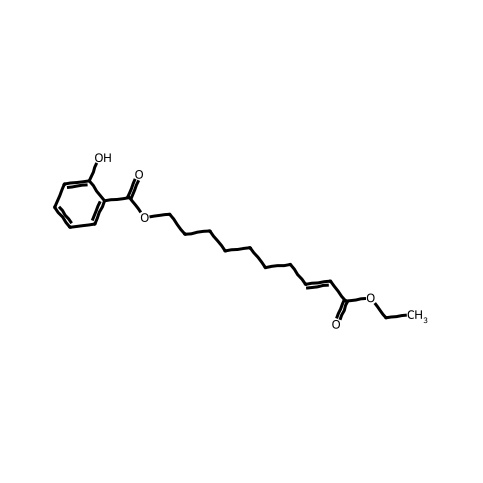 CCOC(=O)C=CCCCCCCCOC(=O)c1ccccc1O